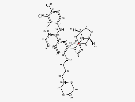 C=CC(=O)N1[C@@H]2CC[C@H]1CC(Oc1cc3c(Nc4ccc(Cl)c(Cl)c4F)ncnc3cc1OCCCN1CCOCC1)C2